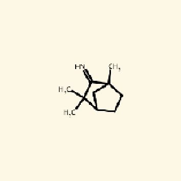 CC12CCC(C1)C(C)(C)C2=N